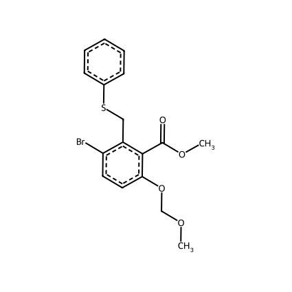 COCOc1ccc(Br)c(CSc2ccccc2)c1C(=O)OC